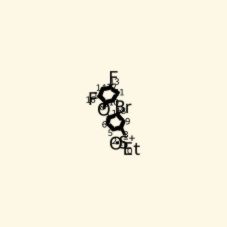 CC[S+]([O-])Cc1ccc(Oc2ccc(F)cc2F)c(Br)c1